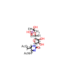 CCC(CC)(OP(=O)(O)[C@@](C)(O)CC)[C@H]1O[C@@H](n2cc(COC(C)=O)c(NC(C)=O)nc2=O)[C@H](O)[C@@H]1O